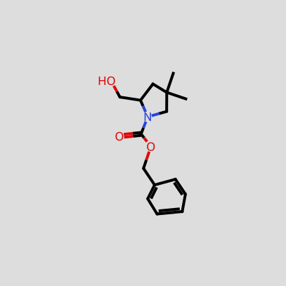 CC1(C)CC(CO)N(C(=O)OCc2ccccc2)C1